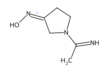 [CH2]C(=N)N1CC/C(=N/O)C1